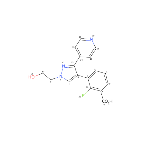 O=C(O)c1cccc(-c2cn(CCO)nc2-c2ccncc2)c1F